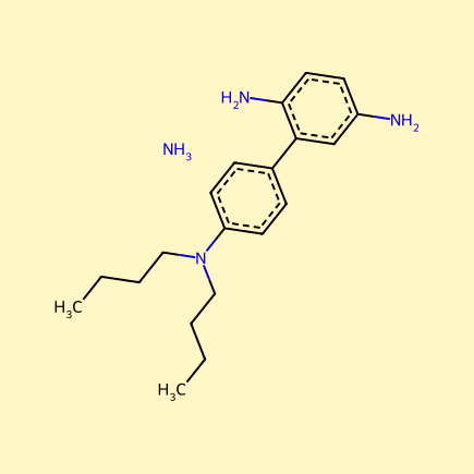 CCCCN(CCCC)c1ccc(-c2cc(N)ccc2N)cc1.N